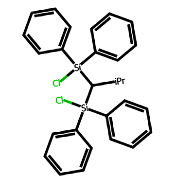 CC(C)C([Si](Cl)(c1ccccc1)c1ccccc1)[Si](Cl)(c1ccccc1)c1ccccc1